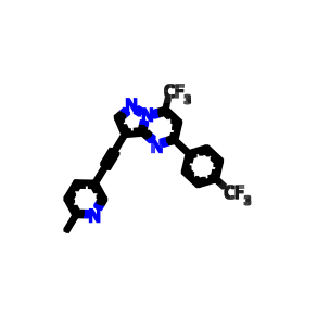 Cc1ccc(C#Cc2cnn3c(C(F)(F)F)cc(-c4ccc(C(F)(F)F)cc4)nc23)cn1